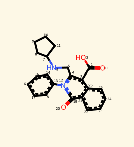 O=C(O)c1c(CNC2CCCC2)n(-c2ccccc2)c(=O)c2ccccc12